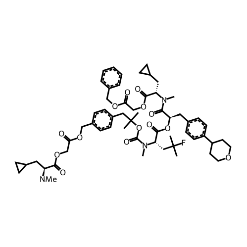 CN[C@@H](CC1CC1)C(=O)OCC(=O)OCc1ccc(CC(C)(C)OC(=O)N(C)[C@@H](CC(C)(C)F)C(=O)O[C@H](Cc2ccc(C3CCOCC3)cc2)C(=O)N(C)[C@@H](CC2CC2)C(=O)OCC(=O)OCc2ccccc2)cc1